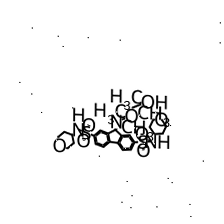 CC(C)(O)COC(C)(C)N=C1c2cc(S(=O)(=O)NC3CCOCC3)ccc2-c2ccc(S(=O)(=O)NC3CCOCC3)cc21